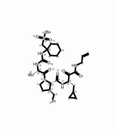 C=CCNC(=O)C(=O)[C@H](CC1CC1)NC(=O)[C@@H]1[C@@H](CC(C)C)CCN1C(=O)[C@@H](NC(=O)NC1(CS(=O)(=O)C(C)(C)C)CCCCC1)C(C)(C)C